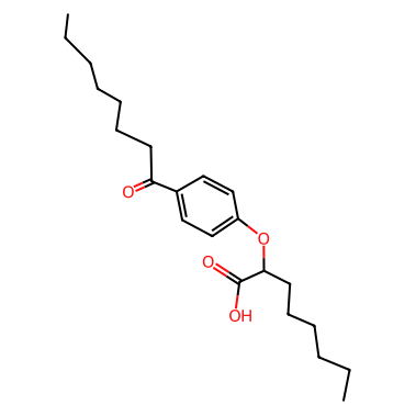 CCCCCCCC(=O)c1ccc(OC(CCCCCC)C(=O)O)cc1